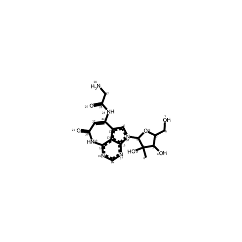 CC1(O)C(O)C(CO)OC1n1cc2c3c(ncnc31)NC(=O)C=C2NC(=O)CN